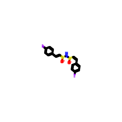 [O-][S+](/C=C\c1ccc(I)cc1)N[S+]([O-])/C=C/c1ccc(I)cc1